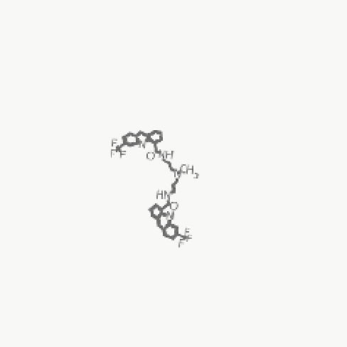 CN(CCCNC(=O)c1cccc2cc3ccc(C(F)(F)F)cc3nc12)CCCNC(=O)c1cccc2cc3ccc(C(F)(F)F)cc3nc12